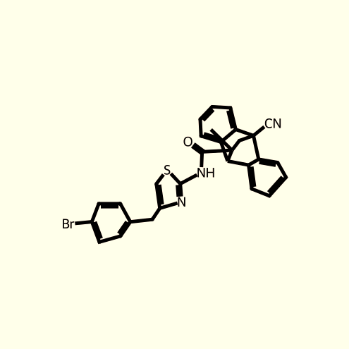 CC1(C(=O)Nc2nc(Cc3ccc(Br)cc3)cs2)CC2(C#N)c3ccccc3C1c1ccccc12